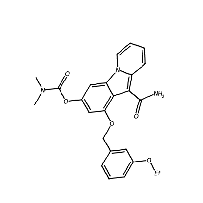 CCOc1cccc(COc2cc(OC(=O)N(C)C)cc3c2c(C(N)=O)c2ccccn23)c1